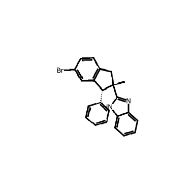 C[C@]1(c2nc3ccccc3[nH]2)Cc2ccc(Br)cc2[C@H]1c1ccccc1